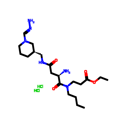 CCCCN(CCC(=O)OCC)C(=O)[C@@H](N)CC(=O)NC[C@@H]1CCCN(C=NN)C1.Cl.Cl